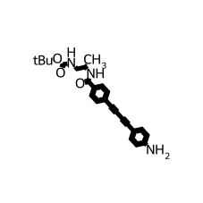 C[C@H](CNC(=O)OC(C)(C)C)NC(=O)c1ccc(C#CC#Cc2ccc(N)cc2)cc1